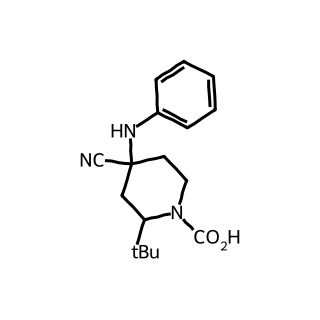 CC(C)(C)C1CC(C#N)(Nc2ccccc2)CCN1C(=O)O